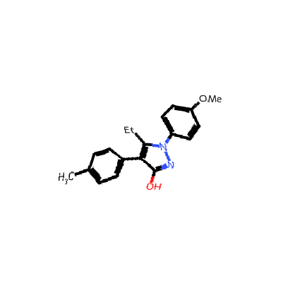 CCc1c(-c2ccc(C)cc2)c(O)nn1-c1ccc(OC)cc1